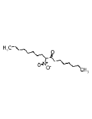 CCCCCCCCC(C(=O)CCCCCCC)[N+](=O)[O-]